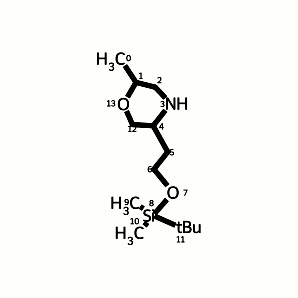 CC1CNC(CCO[Si](C)(C)C(C)(C)C)CO1